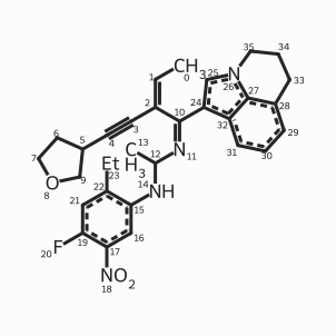 C/C=C(C#CC1CCOC1)\C(=N/C(C)Nc1cc([N+](=O)[O-])c(F)cc1CC)c1cn2c3c(cccc13)CCC2